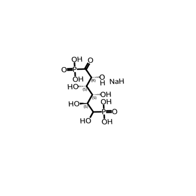 O=C([C@H](O)[C@@H](O)[C@H](O)[C@H](O)C(O)P(=O)(O)O)P(=O)(O)O.[NaH]